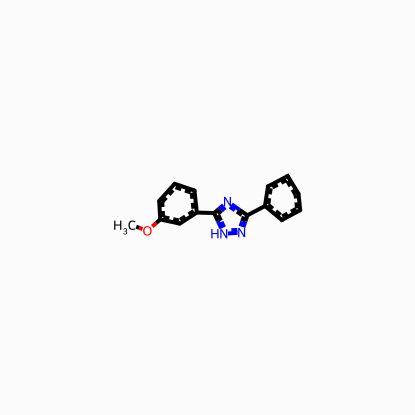 COc1cccc(-c2nc(-c3ccccc3)n[nH]2)c1